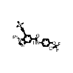 CC(C)n1cnc2cc(C(=O)Nc3ccc(OC(F)(F)Cl)cc3)cc(C#C[Si](C)(C)C)c21